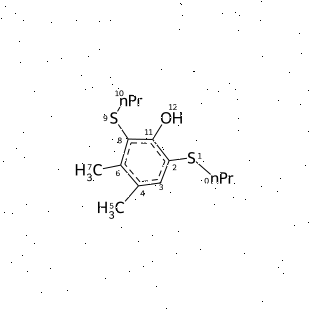 CCCSc1cc(C)c(C)c(SCCC)c1O